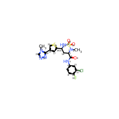 CN1C(C(=O)Nc2ccc(F)c(Cl)c2)CC(c2cc(-c3nncn3C)cs2)NS1(=O)=O